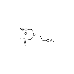 COCCN(COC)CS(C)(=O)=O